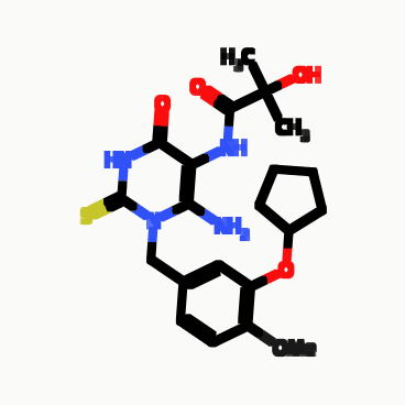 COc1ccc(Cn2c(N)c(NC(=O)C(C)(C)O)c(=O)[nH]c2=S)cc1OC1CCCC1